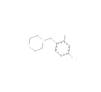 Oc1cc(Cl)ccc1CN1CCNCC1